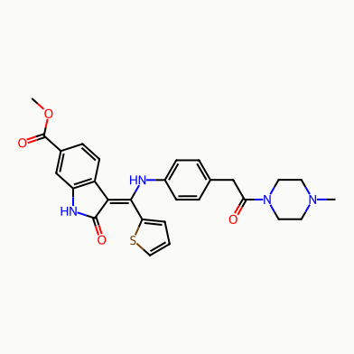 COC(=O)c1ccc2c(c1)NC(=O)C2=C(Nc1ccc(CC(=O)N2CCN(C)CC2)cc1)c1cccs1